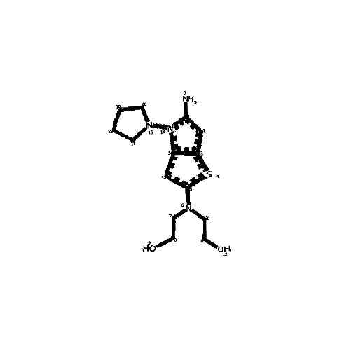 Nc1cc2sc(N(CCO)CCO)cc2n1N1CCCC1